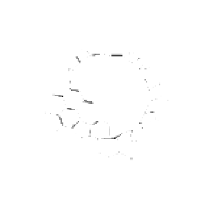 CCCN(CCO)CCO/N=C1/c2c3c(C)c(O)c4c2C(=O)C=C(NC(=O)/C(C)=C\C=C\[C@H](C)[C@H](O)[C@@H](C)[C@@H](O)[C@@H](C)[C@H](OC(C)=O)[C@H](C)[C@@H](OC)/C=C/O[C@@]1(C)O3)C4=O